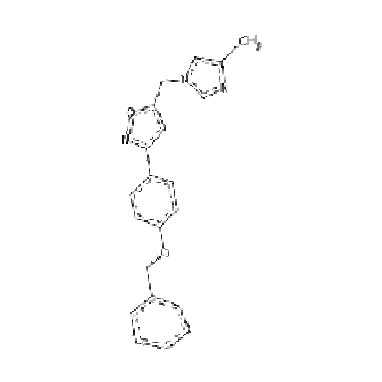 Cc1cn(Cc2cc(-c3ccc(OCc4ccccc4)cc3)no2)cn1